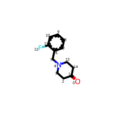 O=C1CCN(Cc2ccccc2F)CC1